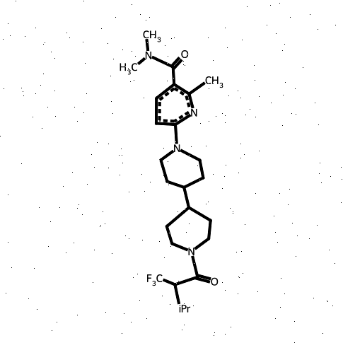 Cc1nc(N2CCC(C3CCN(C(=O)C(C(C)C)C(F)(F)F)CC3)CC2)ccc1C(=O)N(C)C